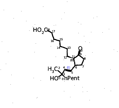 CCCCCC(C)(O)/C=C/C1CCC(=O)[C@@H]1CCCCCCC(=O)O